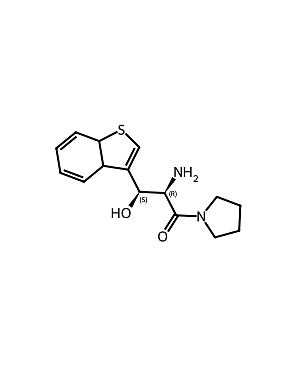 N[C@@H](C(=O)N1CCCC1)[C@@H](O)C1=CSC2C=CC=CC12